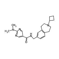 CN(C)c1ncc(C(=O)NCc2ccc3c(c2)CCN(C2CCC2)CC3)cn1